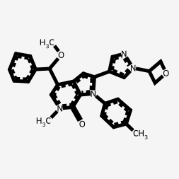 COC(c1ccccc1)c1cn(C)c(=O)c2c1cc(-c1cnn(C3COC3)c1)n2-c1ccc(C)cc1